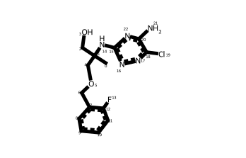 CC(CO)(COCc1ccccc1F)Nc1nnc(Cl)c(N)n1